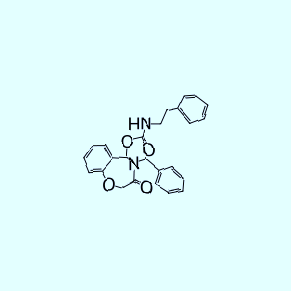 O=C(NCCc1ccccc1)OC1c2ccccc2OCC(=O)N1Cc1ccccc1